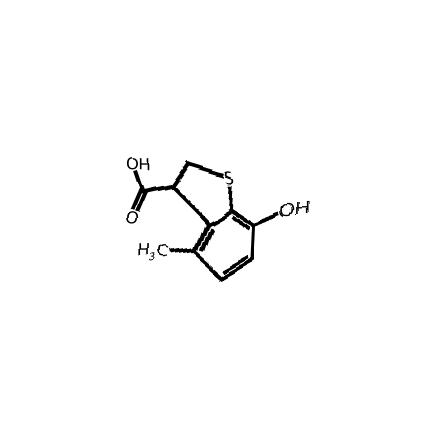 Cc1ccc(O)c2c1C(C(=O)O)CS2